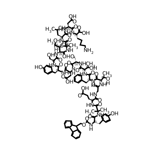 CC[C@H](C)[C@H](NC(=O)[C@H](CO)NC(=O)[C@H](Cc1ccc(O)cc1)NC(=O)[C@H](CC(=O)O)NC(=O)[C@H](CO)NC(=O)[C@@H](NC(=O)[C@H](Cc1ccccc1)NC(=O)[C@@H](NC(=O)CNC(=O)[C@H](CCC(=O)O)NC(=O)C(C)(C)NC(=O)[C@H](Cc1ccc(O)cc1)NC(=O)OCC1c2ccccc2-c2ccccc21)[C@@H](C)O)[C@@H](C)O)C(=O)NC(C)(C)C(=O)N[C@@H](CC(C)C)C(=O)N[C@@H](CC(=O)O)C(=O)N[C@@H](CCCCN)C(=O)O